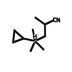 CC(C#N)C[SH](C)(C)(C)C1CC1